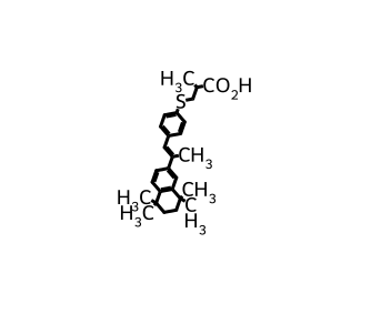 C/C(=C\c1ccc(SCC(C)C(=O)O)cc1)c1ccc2c(c1)C(C)(C)CCC2(C)C